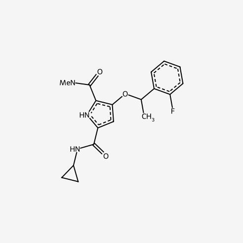 CNC(=O)c1[nH]c(C(=O)NC2CC2)cc1OC(C)c1ccccc1F